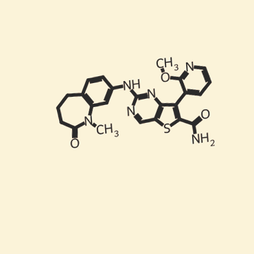 COc1ncccc1-c1c(C(N)=O)sc2cnc(Nc3ccc4c(c3)N(C)C(=O)CCC4)nc12